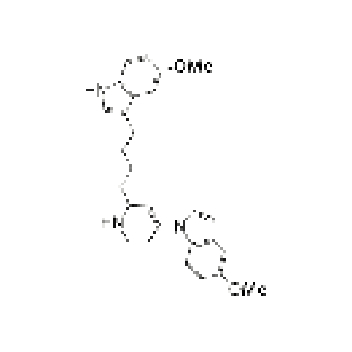 COc1ccc2c(ccn2C2=CC(CCCCc3c[nH]c4ccc(OC)cc34)NCC2)c1